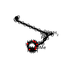 C=C1C[C@@H]2CC[C@@]34C[C@H]5O[C@H]6[C@@H](O3)[C@H]3O[C@H](CC[C@@H]3O[C@H]6[C@H]5O4)CC(=O)C[C@@H]3[C@@H](OC)[C@@H](C[C@H](O)CNC(=O)OCc4ccc(NC(=O)[C@H](CCCNC(N)=O)NC(=O)[C@@H](NC(=O)CCOCCOCCOCCOCCOCCOCCOCCOCCOCCC(=O)ON5C(=O)CCC5=O)C(C)C)cc4)O[C@H]3C[C@H]3O[C@@H](CC[C@@H]1O2)C[C@@H](C)C3=C